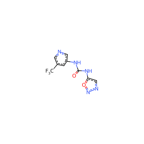 O=C(Nc1cncc(C(F)(F)F)c1)Nc1cnno1